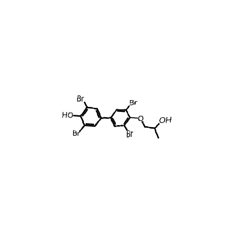 CC(O)COc1c(Br)cc(-c2cc(Br)c(O)c(Br)c2)cc1Br